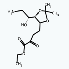 CCOC(=O)C(=O)CCC1OC(C)(C)O[C@@H]1[C@H](O)CN